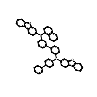 c1ccc(-c2ccc(N(c3cccc(-c4cccc(N(c5ccc6c(c5)oc5ccccc56)c5cccc6ccccc56)c4)c3)c3ccc4c(c3)oc3ccccc34)cc2)cc1